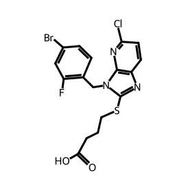 O=C(O)CCCSc1nc2ccc(Cl)nc2n1Cc1ccc(Br)cc1F